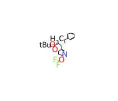 C[C@@H](C[C@@H](CC(=O)OC(C)(C)C)c1ccc(OC(F)F)nc1)c1ccccc1